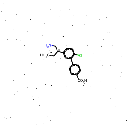 NC[C@H](CC(=O)O)c1ccc(Cl)c(-c2ccc(C(=O)O)cc2)c1